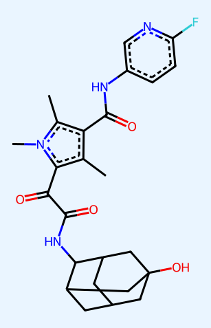 Cc1c(C(=O)Nc2ccc(F)nc2)c(C)n(C)c1C(=O)C(=O)NC1C2CC3CC1CC(O)(C3)C2